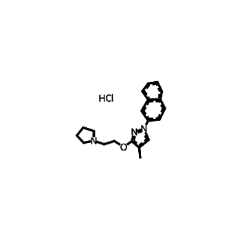 Cc1cn(-c2ccc3ccccc3c2)nc1OCCN1CCCC1.Cl